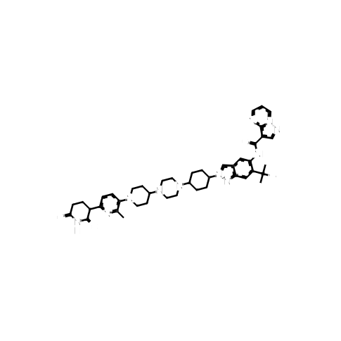 Cc1nc(C2CCC(=O)NC2=O)ccc1N1CCC(N2CCN(C3CCC(n4cc5cc(NC(=O)c6cnn7cccnc67)c(C(C)(C)O)cc5n4)CC3)CC2)CC1